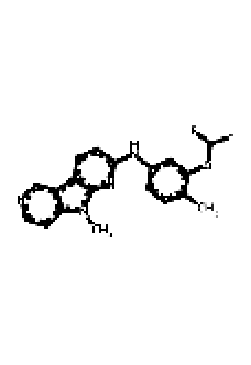 Cc1ccc(Nc2ccc3c4cnccc4n(C)c3n2)cc1OC(F)F